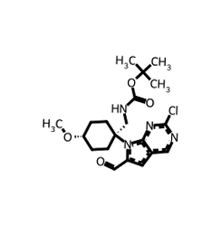 CO[C@H]1CC[C@](CNC(=O)OC(C)(C)C)(n2c(C=O)cc3cnc(Cl)nc32)CC1